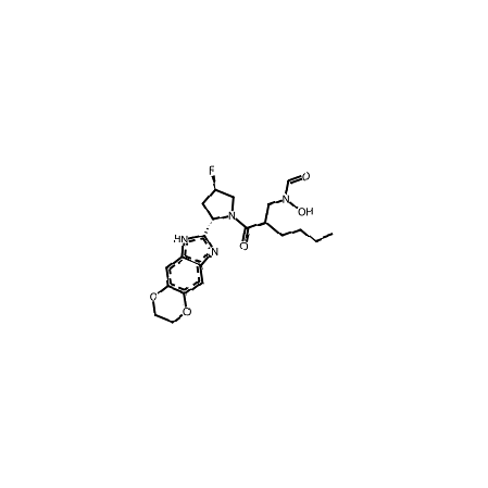 CCCCC(CN(O)C=O)C(=O)N1C[C@H](F)C[C@H]1c1nc2cc3c(cc2[nH]1)OCCO3